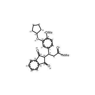 CNC(=O)CC(c1ccc(OC)c(OC2CCCC2)c1)C1C(=O)c2ccccc2C1=O